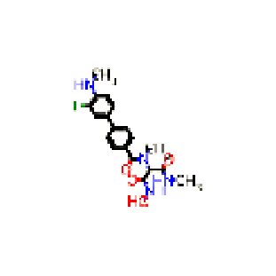 CNC(=O)C(C(=O)NO)N(C)C(=O)c1ccc(-c2ccc(NC)c(F)c2)cc1